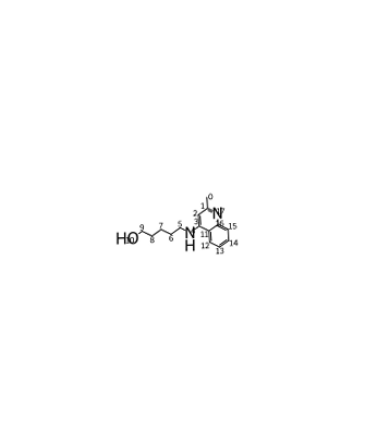 Cc1cc(NCCCCCO)c2ccccc2n1